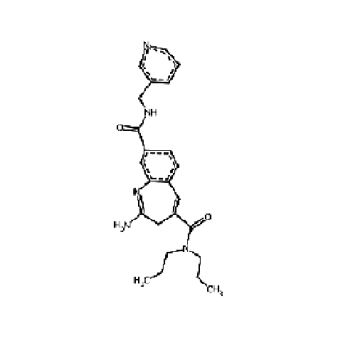 CCCN(CCC)C(=O)C1=Cc2ccc(C(=O)NCc3cccnc3)cc2N=C(N)C1